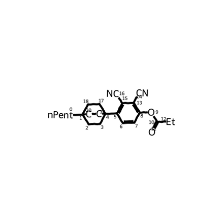 CCCCCC12CCC(c3ccc(OC(=O)CC)c(C#N)c3C#N)(CC1)CC2